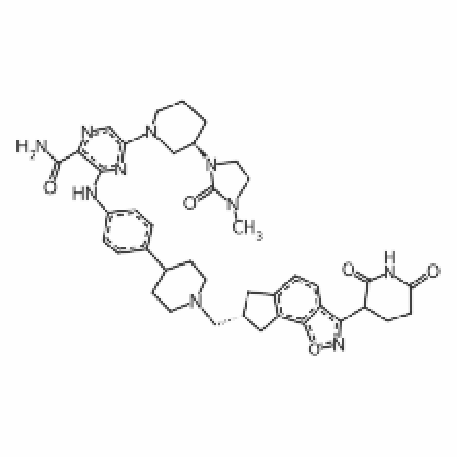 CN1CCN([C@@H]2CCCN(c3cnc(C(N)=O)c(Nc4ccc(C5CCN(C[C@@H]6Cc7ccc8c(C9CCC(=O)NC9=O)noc8c7C6)CC5)cc4)n3)C2)C1=O